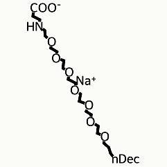 CCCCCCCCCCCCCOCCOCCOCCOCCOCCOCCOCCNCCC(=O)[O-].[Na+]